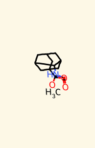 COC(=O)C12CC3CC(C1)C(NC=O)C(C3)C2